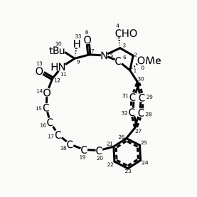 CO[C@@]12C[C@@H](C=O)N(C1)C(=O)[C@H](C(C)(C)C)NC(=O)OCCCCCCc1ccccc1-c1ccc2cc1